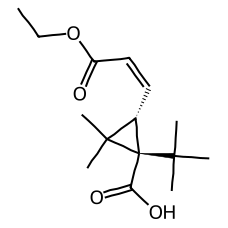 CCOC(=O)/C=C\[C@H]1C(C)(C)[C@]1(C(=O)O)C(C)(C)C